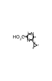 O=C(O)c1cncc(C2CC2)n1